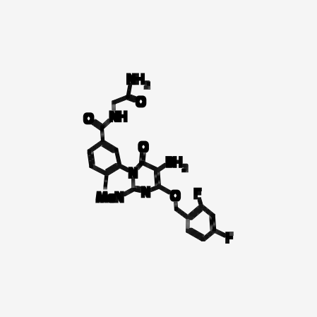 Bc1c(OCc2ccc(F)cc2F)nc(NC)n(-c2cc(C(=O)NCC(N)=O)ccc2C)c1=O